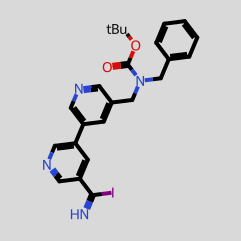 CC(C)(C)OC(=O)N(Cc1ccccc1)Cc1cncc(-c2cncc(C(=N)I)c2)c1